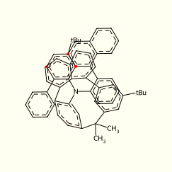 CC(C)(C)c1cc2cc(c1)C(C)(C)c1ccc(c(N(c3cc(C(C)(C)C)ccc3-c3ccccc3)c3ccccc3-c3cccc4ccccc34)c1)-c1cccc3cccc-2c13